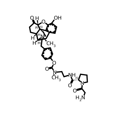 CN(CCNC(=O)[C@@H]1CCCN1C(=O)CN)C(=O)Oc1ccc(C[N@@+]2(C)CC[C@]34c5c6ccc(O)c5O[C@H]3C(=O)CC[C@H]4[C@H]2C6)cc1